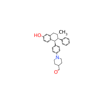 C[C@H]1Cc2cc(O)ccc2[C@H](c2ccc(N3CCC(C=O)CC3)cc2)[C@@H]1c1ccccc1